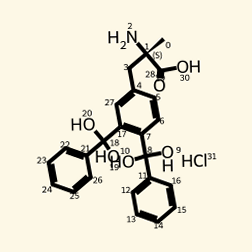 C[C@](N)(Cc1ccc(C(O)(O)c2ccccc2)c(C(O)(O)c2ccccc2)c1)C(=O)O.Cl